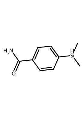 C[SiH](C)c1ccc(C(N)=O)cc1